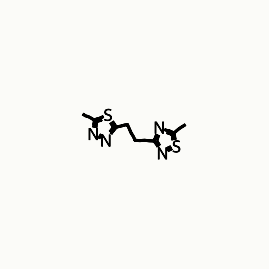 Cc1nc(CCc2nnc(C)s2)ns1